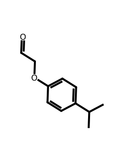 CC(C)c1ccc(OCC=O)cc1